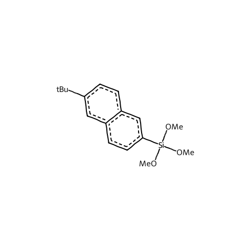 CO[Si](OC)(OC)c1ccc2cc(C(C)(C)C)ccc2c1